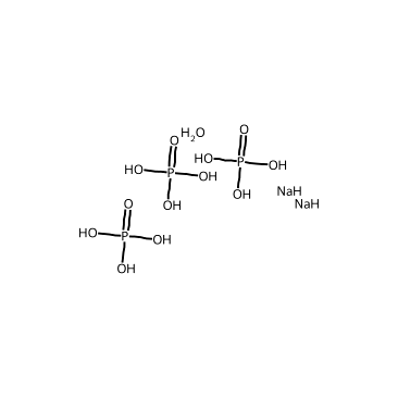 O.O=P(O)(O)O.O=P(O)(O)O.O=P(O)(O)O.[NaH].[NaH]